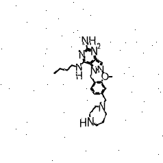 CCCCNc1nc(N)nc2cnn(Cc3ccc(CN4CCCNCC4)cc3OC)c12